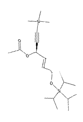 CC(=O)O[C@@H](C#C[Si](C)(C)C)/C=C/CO[Si](C(C)C)(C(C)C)C(C)C